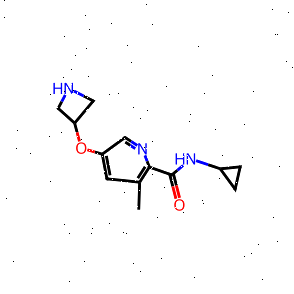 Cc1cc(OC2CNC2)cnc1C(=O)NC1CC1